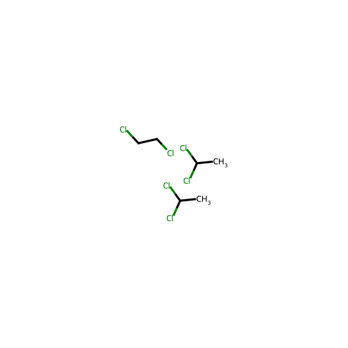 CC(Cl)Cl.CC(Cl)Cl.ClCCCl